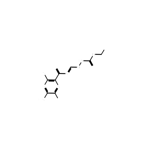 CCNC(=O)NNC=NC(=O)c1nc(Cl)c(N)nc1N